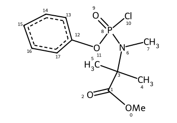 COC(=O)C(C)(C)N(C)P(=O)(Cl)Oc1ccccc1